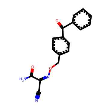 N#CC(=NOCc1ccc(C(=O)c2ccccc2)cc1)C(N)=O